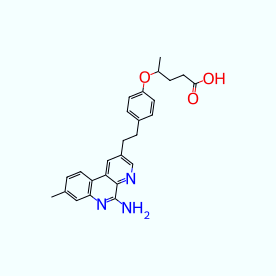 Cc1ccc2c(c1)nc(N)c1ncc(CCc3ccc(OC(C)CCC(=O)O)cc3)cc12